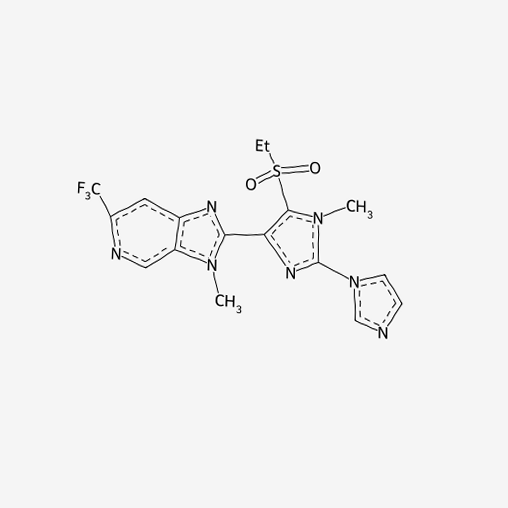 CCS(=O)(=O)c1c(-c2nc3cc(C(F)(F)F)ncc3n2C)nc(-n2ccnc2)n1C